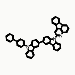 c1ccc(-c2ccc(-n3c4ccccc4c4cc(-c5ccc6c(c5)c5ccccc5n6-c5cc6c7c(cccc7n5)-c5ccccc5-6)ccc43)cc2)cc1